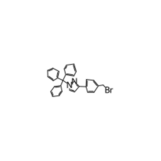 BrCc1ccc(-c2ccn(C(c3ccccc3)(c3ccccc3)c3ccccc3)n2)cc1